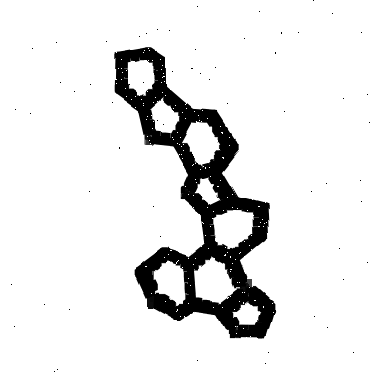 c1ccc2c(c1)sc1c2ccc2c3ccc4c(c5ccncc5c5nccn45)c3sc21